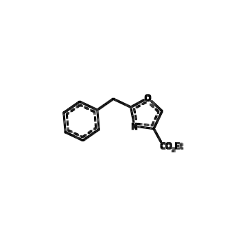 CCOC(=O)c1coc(Cc2ccccc2)n1